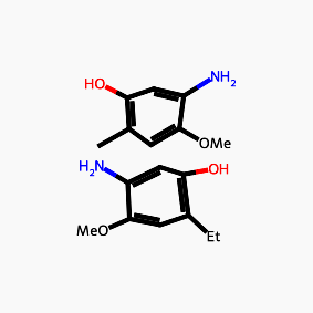 CCc1cc(OC)c(N)cc1O.COc1cc(C)c(O)cc1N